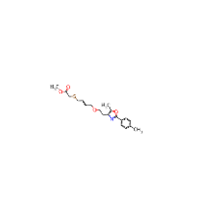 COC(=O)CSC/C=C/COCCc1nc(-c2ccc(C)cc2)oc1C